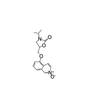 CC(C)N1CC(COc2cccc3c[n+]([O-])ccc23)OC1=O